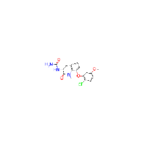 COc1ccc(Cl)c(Oc2cccc3c2N(C)C(=O)[C@H](NC(N)=O)C3)c1